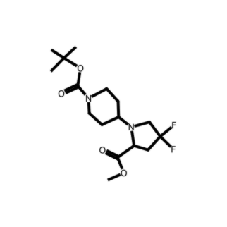 COC(=O)C1CC(F)(F)CN1C1CCN(C(=O)OC(C)(C)C)CC1